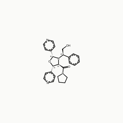 O=C([C@H]1[C@H](c2ccncc2)O[C@H](c2ccncc2)N1[C@@H](CO)c1ccccc1)N1CCCC1